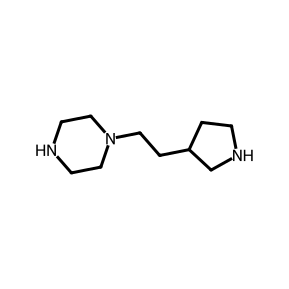 C1CN(CCC2CCNC2)CCN1